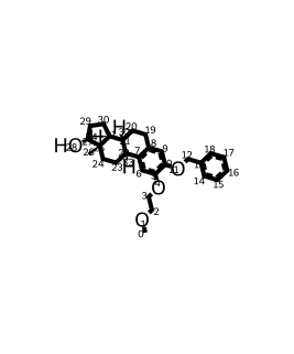 COCCOc1cc2c(cc1OCc1ccccc1)CC[C@@H]1[C@@H]2CC[C@]2(C)[C@@H](O)CC[C@@H]12